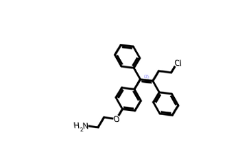 NCCOc1ccc(/C(=C(/CCCl)c2ccccc2)c2ccccc2)cc1